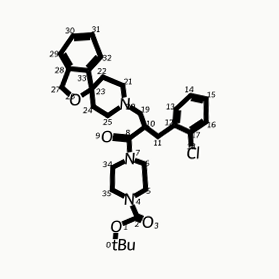 CC(C)(C)OC(=O)N1CCN(C(=O)C(Cc2ccccc2Cl)CN2CCC3(CC2)OCc2ccccc23)CC1